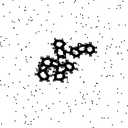 c1ccc2c(-c3ccc4c(c3)oc3ccccc34)nc(-n3c4ccc5sc6ccccc6c5c4c4c5ccccc5c5ccccc5c43)nc2c1